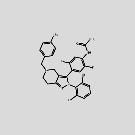 CCc1cccc(CC)c1-n1nc2c(c1-c1cc(F)c(NC(N)=O)cc1F)CN(Cc1ccc(C(C)(C)C)cc1)CC2